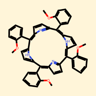 COc1ccccc1-c1c2nc(c(-c3ccccc3OC)c3ccc([nH]3)c(-c3ccccc3OC)c3nc(c(-c4ccccc4OC)c4ccc1[nH]4)C=C3)C=C2